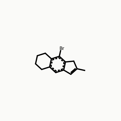 CC1=Cc2cc3c(c(Br)c2C1)CCCC3